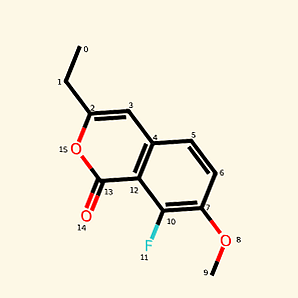 CCc1cc2ccc(OC)c(F)c2c(=O)o1